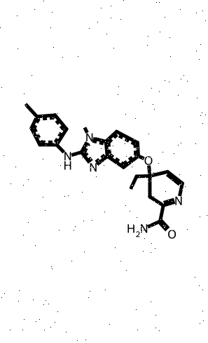 CCC1(Oc2ccc3c(c2)nc(Nc2ccc(C)cc2)n3C)C=CN=C(C(N)=O)C1